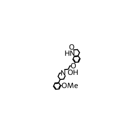 COc1ccccc1C1CCN(CC(O)COc2ccc3c(c2)NC(=O)CC3)CC1